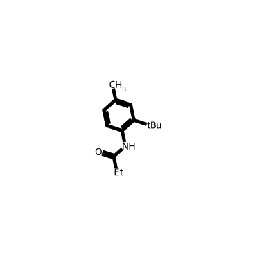 CCC(=O)Nc1ccc(C)cc1C(C)(C)C